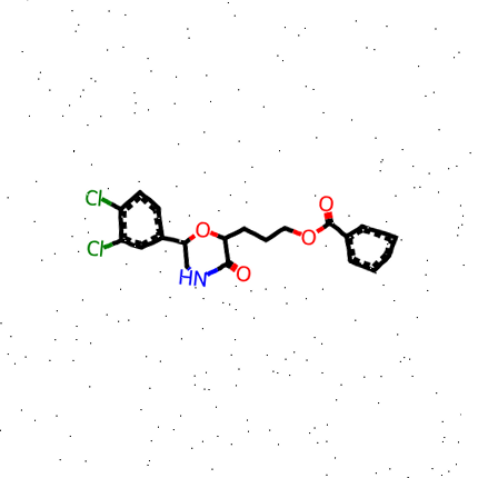 O=C(OCCCC1OC(c2ccc(Cl)c(Cl)c2)CNC1=O)c1ccccc1